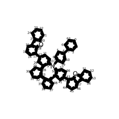 c1ccc(-c2ccc(-n3c4ccc(-c5cccc6c5oc5ccccc56)cc4c4ccccc4c4ccccc4c4cc(-c5cccc6c5oc5ccccc56)ccc43)cc2)cc1